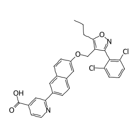 CCCc1onc(-c2c(Cl)cccc2Cl)c1COc1ccc2cc(-c3cc(C(=O)O)ccn3)ccc2c1